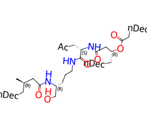 CCCCCCCCCCCC(=O)O[C@H](CCCCCCCCCCC)CC(=O)N[C@@H](CC(C)=O)C(=O)NCCC[C@H](CO)NC(=O)C[C@H](C)CCCCCCCCCCC